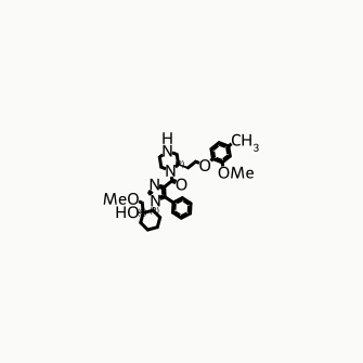 COC[C@]1(O)CCCC[C@H]1n1cnc(C(=O)N2CCNC[C@H]2CCOc2ccc(C)cc2OC)c1-c1ccccc1